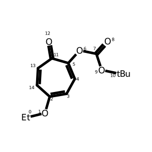 CCOc1ccc(OC(=O)OC(C)(C)C)c(=O)cc1